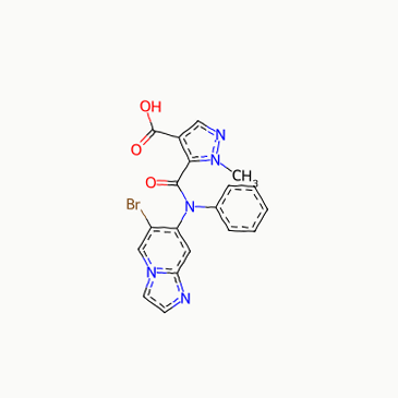 Cn1ncc(C(=O)O)c1C(=O)N(c1ccccc1)c1cc2nccn2cc1Br